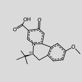 COc1ccc2c(c1)-c1cc(=O)c(C(=O)O)cn1[C@H](C(C)(C)C)C2